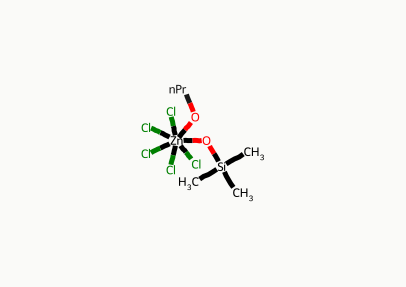 CCC[O][Zn]([Cl])([Cl])([Cl])([Cl])([Cl])[O][Si](C)(C)C